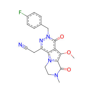 COc1c2n(c3c(CC#N)nn(Cc4ccc(F)cc4)c(=O)c13)CCN(C)C2=O